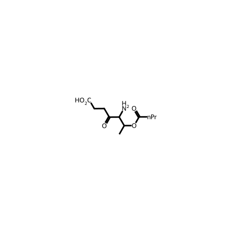 CCCC(=O)OC(C)C(N)C(=O)CCC(=O)O